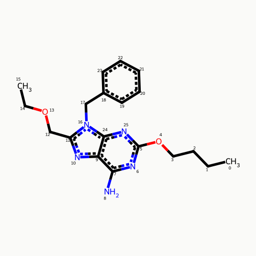 CCCCOc1nc(N)c2nc(COCC)n(Cc3ccccc3)c2n1